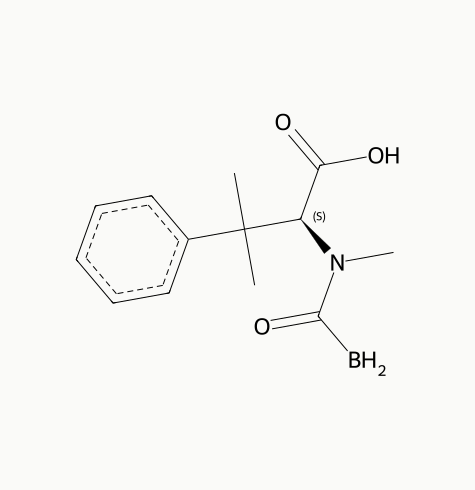 BC(=O)N(C)[C@H](C(=O)O)C(C)(C)c1ccccc1